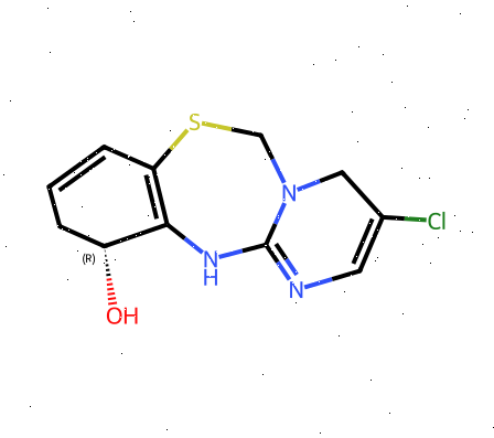 O[C@@H]1CC=CC2=C1NC1=NC=C(Cl)CN1CS2